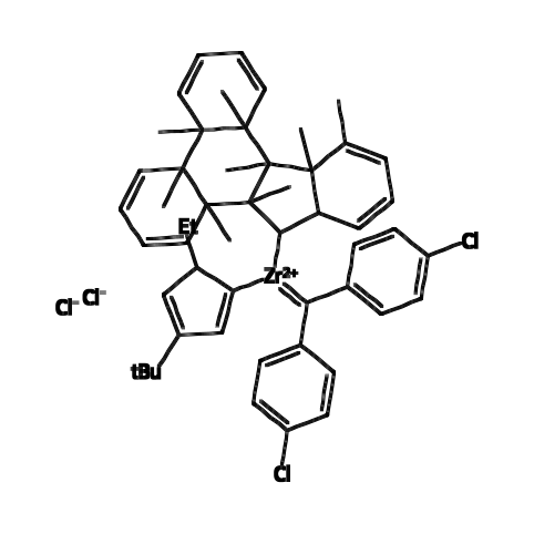 CCC1C=C(C(C)(C)C)C=[C]1[Zr+2](=[C](c1ccc(Cl)cc1)c1ccc(Cl)cc1)[CH]1C2C=CC=C(C)C2(C)C2(C)C3(C)C=CC=CC3(C)C3(C)C=CC=CC3(C)C12C.[Cl-].[Cl-]